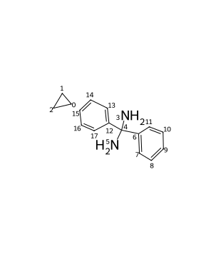 C1CC1.NC(N)(c1ccccc1)c1ccccc1